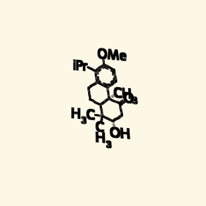 COc1ccc2c(c1C(C)C)CCC1C(C)(C)[C@@H](O)CC(=O)[C@]21C